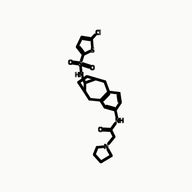 O=C(CN1CCCC1)Nc1ccc2c(c1)CC1CCC(C2)C1NS(=O)(=O)c1ccc(Cl)s1